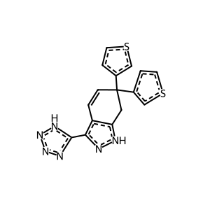 C1=CC(c2ccsc2)(c2ccsc2)Cc2[nH]nc(-c3nnn[nH]3)c21